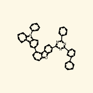 c1ccc(-c2cccc(-c3nc(-c4ccccc4)nc(-c4ccc5c(c4)oc4cccc(-c6ccc7c(c6)c6ccccc6n7-c6ccccc6)c45)n3)c2)cc1